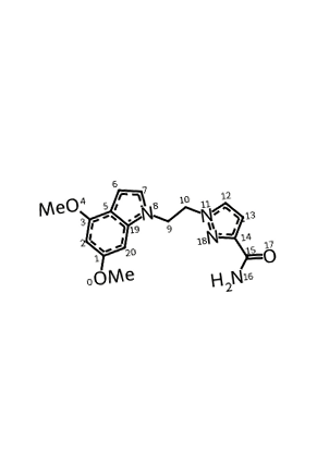 COc1cc(OC)c2ccn(CCn3c[c]c(C(N)=O)n3)c2c1